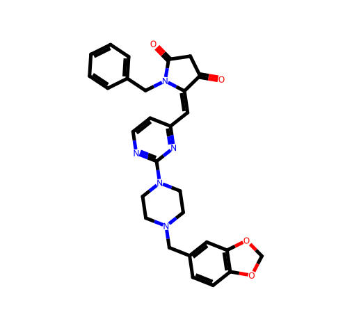 O=C1CC(=O)N(Cc2ccccc2)/C1=C\c1ccnc(N2CCN(Cc3ccc4c(c3)OCO4)CC2)n1